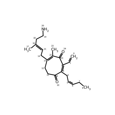 C=C/C1=C(\C/C=C\CC)C(=O)CC/C(C/C=C(\C)CCN)=C(/C)C1=O